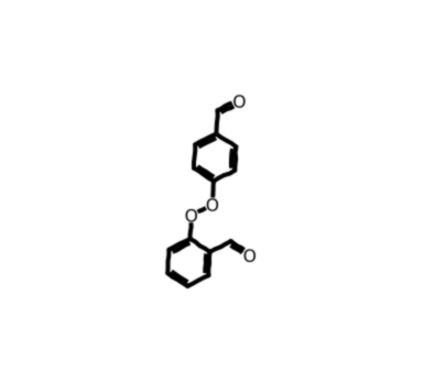 O=Cc1ccc(OOc2ccccc2C=O)cc1